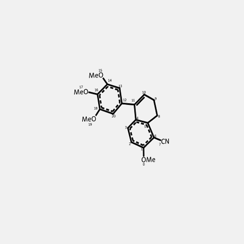 COc1ccc2c(c1C#N)CCC=C2c1cc(OC)c(OC)c(OC)c1